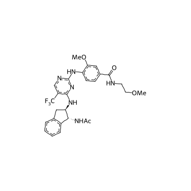 COCCNC(=O)c1ccc(Nc2ncc(C(F)(F)F)c(N[C@@H]3Cc4ccccc4[C@H]3NC(C)=O)n2)c(OC)c1